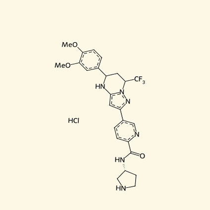 COc1ccc(C2CC(C(F)(F)F)n3nc(-c4ccc(C(=O)N[C@@H]5CCNC5)nc4)cc3N2)cc1OC.Cl